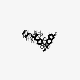 CCS(=O)(=O)Nc1ccc(-c2n[nH]c(Nc3cnccn3)c2C(N)=O)cc1OC1CCCc2cc(F)ccc21